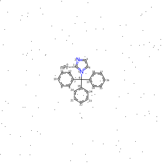 CCCc1nccn1C(c1ccccc1)(c1ccccc1)c1ccccc1